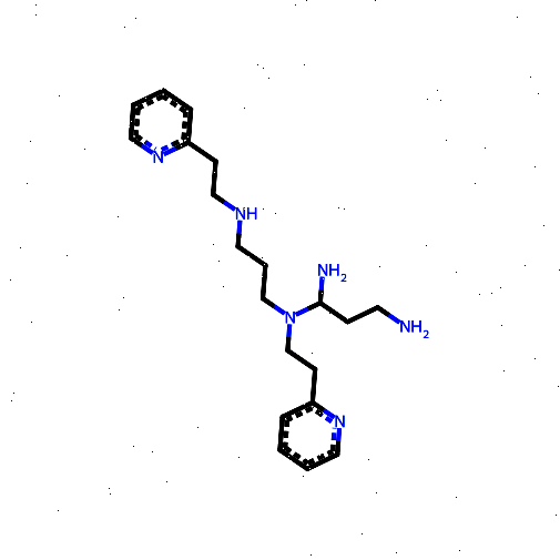 NCCC(N)N(CCCNCCc1ccccn1)CCc1ccccn1